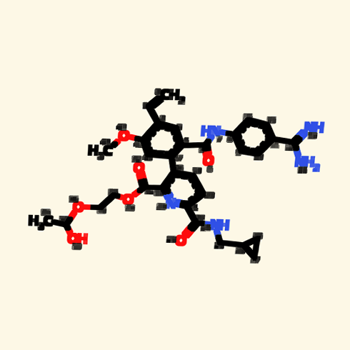 C=Cc1cc(C(=O)Nc2ccc(C(=N)N)cc2)c(-c2ccc(C(=O)NCC3CC3)nc2C(=O)OCCOC(C)O)cc1OC